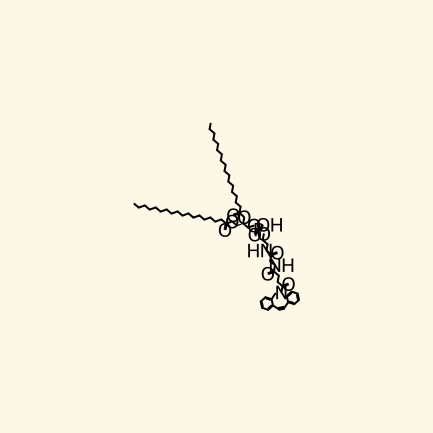 CCCCCCCCCCCCCCCCCC(=O)OC[C@H](COP(=O)(O)OCCNC(=O)CNC(=O)CCC(=O)N1Cc2ccccc2C#Cc2ccccc21)OC(=O)CCCCCCCCCCCCCCCCC